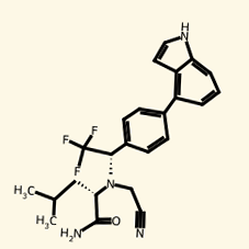 CC(C)C[C@@H](C(N)=O)N(CC#N)[C@@H](c1ccc(-c2cccc3[nH]ccc23)cc1)C(F)(F)F